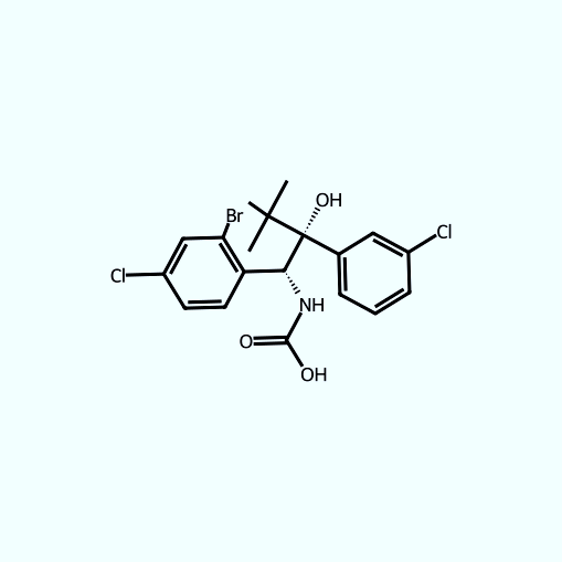 CC(C)(C)[C@@](O)(c1cccc(Cl)c1)[C@H](NC(=O)O)c1ccc(Cl)cc1Br